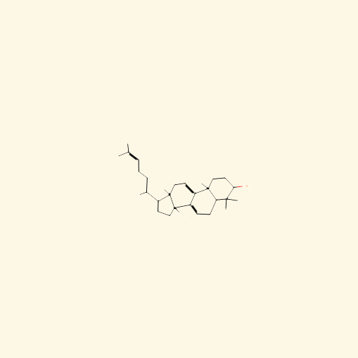 CC(C)=CCCC(C(=O)O)C1CCC2(C)C3=CCC4C(C)(CCC(O)C4(C)C)C3=CCC12C